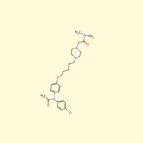 CC(=O)N(c1ccc(Cl)cc1)c1ccc(OCCCCCN2CCN(CC(=O)N(C)C)CC2)cc1